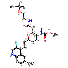 COc1ccc2ncc(F)c(/C=C/[C@@H]3CC[C@@H](NC(=O)OC(C)(C)C)[C@@H](CC(=O)NCCO[Si](C)(C)C(C)(C)C)O3)c2c1